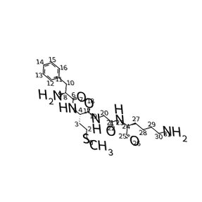 CSCC[C@H](NC(=O)[C@@H](N)Cc1ccccc1)C(=O)NCC(=O)N[C@H]([C]=O)CCCCN